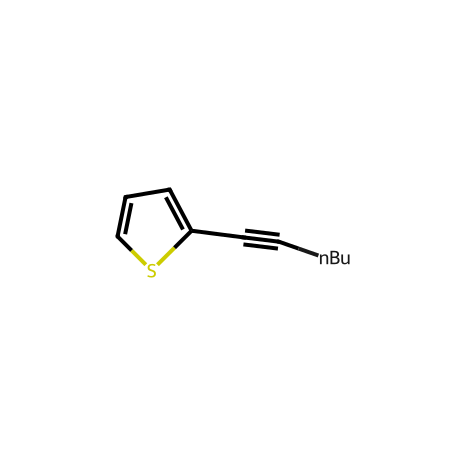 CCCCC#Cc1cccs1